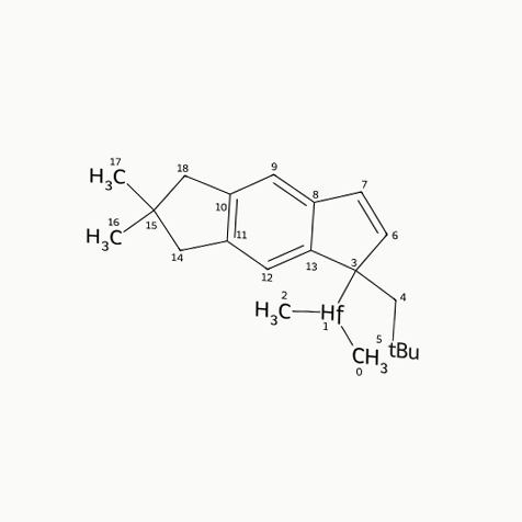 [CH3][Hf]([CH3])[C]1(CC(C)(C)C)C=Cc2cc3c(cc21)CC(C)(C)C3